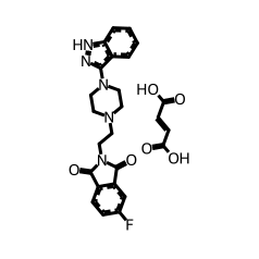 O=C(O)C=CC(=O)O.O=C1c2ccc(F)cc2C(=O)N1CCN1CCN(c2n[nH]c3ccccc23)CC1